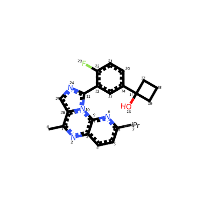 Cc1nc2ccc(C(C)C)nc2n2c(-c3cc(C4(O)CCC4)ccc3F)ncc12